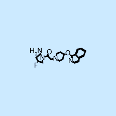 N[C@@H]1C[C@H](F)CN1C(=O)CN1CCC(Oc2nccc3ccccc23)CC1